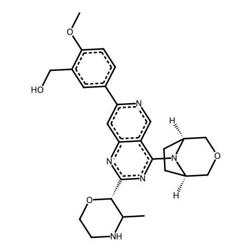 COc1ccc(-c2cc3nc([C@H]4OCCNC4C)nc(N4[C@@H]5CC[C@H]4COC5)c3cn2)cc1CO